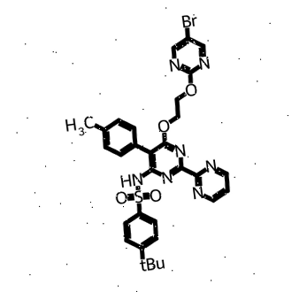 Cc1ccc(-c2c(NS(=O)(=O)c3ccc(C(C)(C)C)cc3)nc(-c3ncccn3)nc2OCCOc2ncc(Br)cn2)cc1